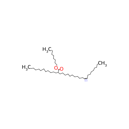 CCCCCCCC/C=C\CCCCCCCCCCC(CCCCCCCCCCCC)C(=O)OCCCCCCCC